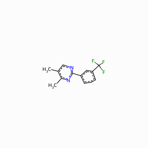 Cc1cnc(-c2cccc(C(F)(F)F)c2)nc1C